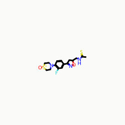 CC(=S)NCC1CC(c2ccc(N3CC[S+]([O-])CC3)c(F)c2)=NO1